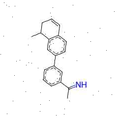 CC(=N)c1cccc(-c2ccc3c(c2)C(C)CC=C3)c1